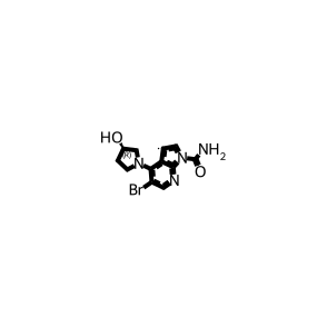 NC(=O)n1c[c]c2c(N3CC[C@@H](O)C3)c(Br)cnc21